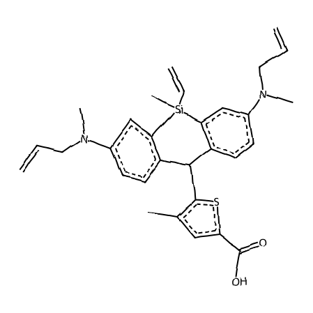 C=CCN(C)c1ccc2c(c1)[Si](C)(C=C)c1cc(N(C)CC=C)ccc1C2c1sc(C(=O)O)cc1C